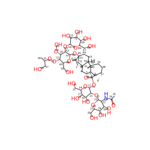 C=C1C[C@@]23CCC4[C@](C)(C(=O)OC5OC(CO)C(O)C(O)C5OC5OC(CO)C(O)C(O)C5NC(C)=O)CCC[C@@]4(C)[C@@H]2CC[C@]1(OC1OC(CO)C(OOC(C)CO)C(OO)C1OC1OC(CO)C(O)C(O)C1O)C3